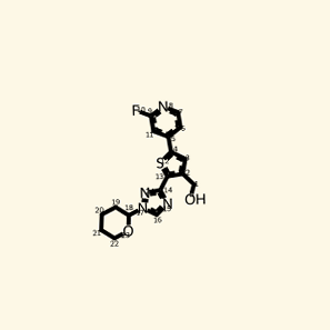 OCc1cc(-c2ccnc(F)c2)sc1-c1ncn(C2CCCCO2)n1